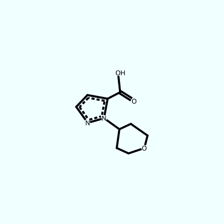 O=C(O)c1ccnn1C1CCOCC1